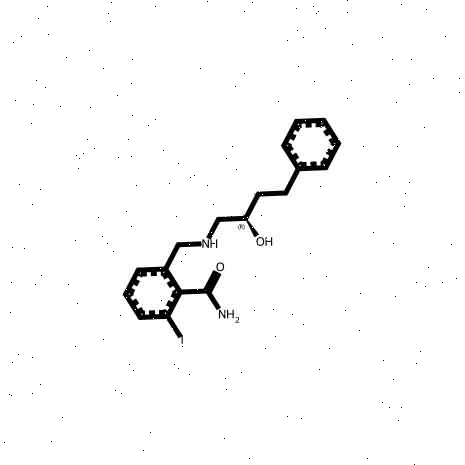 NC(=O)c1c(I)cccc1CNC[C@H](O)[CH]Cc1ccccc1